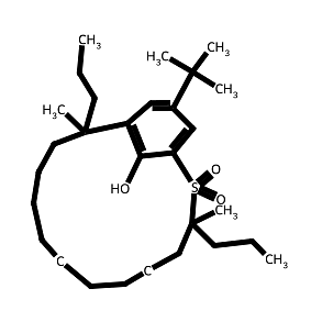 CCCC1(C)CCCCCCCCCC(C)(CCC)S(=O)(=O)c2cc(C(C)(C)C)cc1c2O